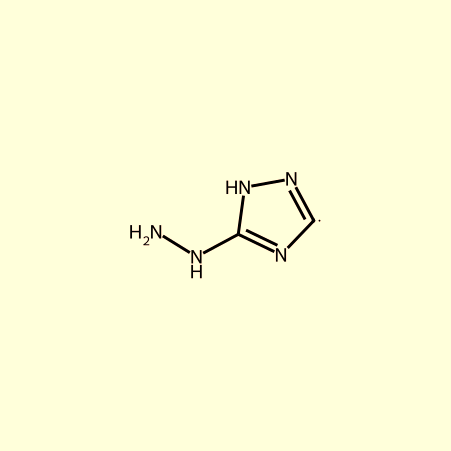 NNc1n[c]n[nH]1